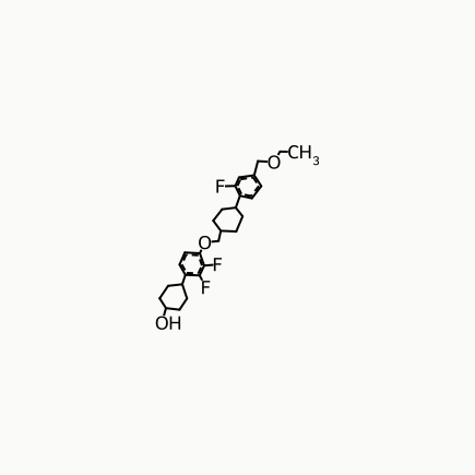 CCOCc1ccc(C2CCC(COc3ccc(C4CCC(O)CC4)c(F)c3F)CC2)c(F)c1